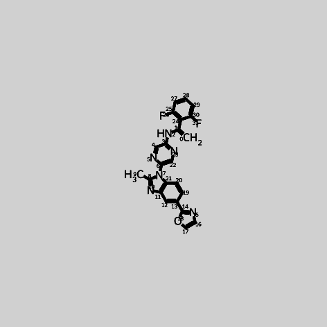 C=C(Nc1cnc(-n2c(C)nc3cc(-c4ncco4)ccc32)cn1)c1c(F)cccc1F